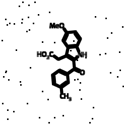 COc1ccc2[nH]c(C(=O)c3cccc(C)c3)c(CC(=O)O)c2c1